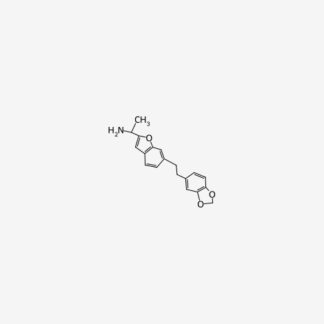 CC(N)c1cc2ccc(CCc3ccc4c(c3)OCO4)cc2o1